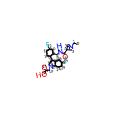 CCN1CC(C(=O)NCc2cc(F)ccc2-c2cn(CC(=O)O)c3ccc(F)cc23)C1